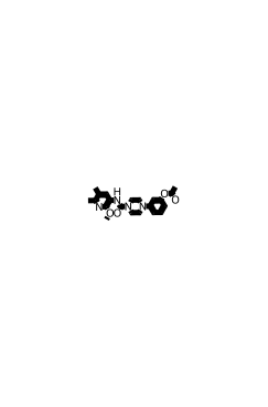 COc1nc(C)c(C)cc1NC(=O)N1CCN(c2cccc(OC(C)=O)c2)CC1